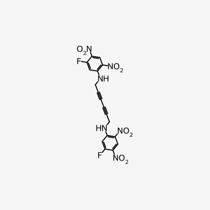 O=[N+]([O-])c1cc([N+](=O)[O-])c(NCC#CC#CCNc2cc(F)c([N+](=O)[O-])cc2[N+](=O)[O-])cc1F